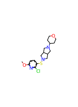 COc1ccc(SN2CC3CN(C4CCOCC4)CC3C2)c(Cl)n1